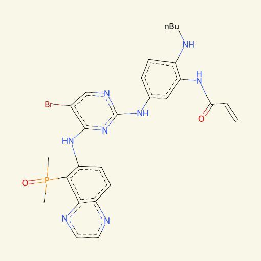 C=CC(=O)Nc1cc(Nc2ncc(Br)c(Nc3ccc4nccnc4c3P(C)(C)=O)n2)ccc1NCCCC